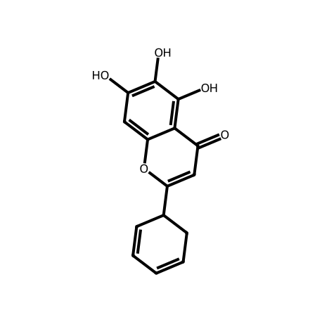 O=c1cc(C2C=CC=CC2)oc2cc(O)c(O)c(O)c12